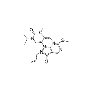 C=CCn1c(=O)c2cnc(SC)nc2n1C(=C/N(C=O)C(C)C)/C(=C\C)OC